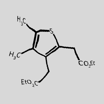 CCOC(=O)Cc1sc(C)c(C)c1CC(=O)OCC